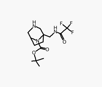 CC(C)(C)OC(=O)N1C2CCC1(CNC(=O)C(F)(F)F)CNC2